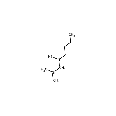 CCCCN(S)[SiH2][SiH](C)C